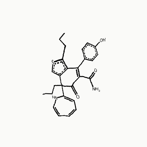 CCCc1scc2c1C(c1ccc(O)cc1)=C(C(N)=O)C(=O)C2(CCC)C1=CC=CC=CN1